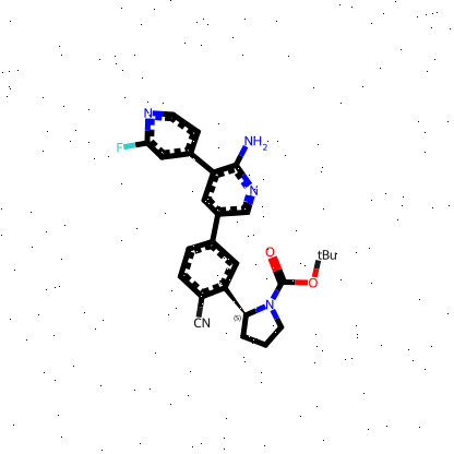 CC(C)(C)OC(=O)N1CCC[C@H]1c1cc(-c2cnc(N)c(-c3ccnc(F)c3)c2)ccc1C#N